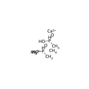 C.C[PH](=O)O.C[PH](=O)O.[Ca+2].[Mg+2]